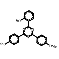 COc1ccc(-c2nc(-c3ccc(OC)cc3)nc(-c3ccccc3O)n2)cc1